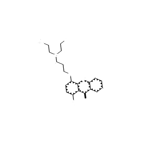 O=c1c2ccccc2sc2c(OCCCN(CCO)CCO)ccc(Cl)c12